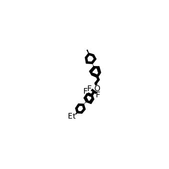 CC[C@H]1CC[C@H](c2ccc(C(F)(F)OCCc3ccc([C@H]4CC[C@H](C)CC4)cc3)c(F)c2)CC1